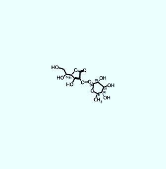 C[C@H]1O[C@H](OOC2=C(O)[C@@H]([C@@H](O)CO)OC2=O)[C@H](O)[C@@H](O)[C@@H]1O